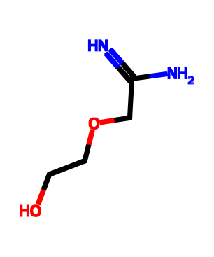 N=C(N)COCCO